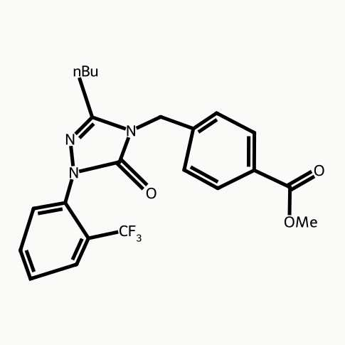 CCCCc1nn(-c2ccccc2C(F)(F)F)c(=O)n1Cc1ccc(C(=O)OC)cc1